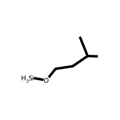 C[C](C)CCO[SiH3]